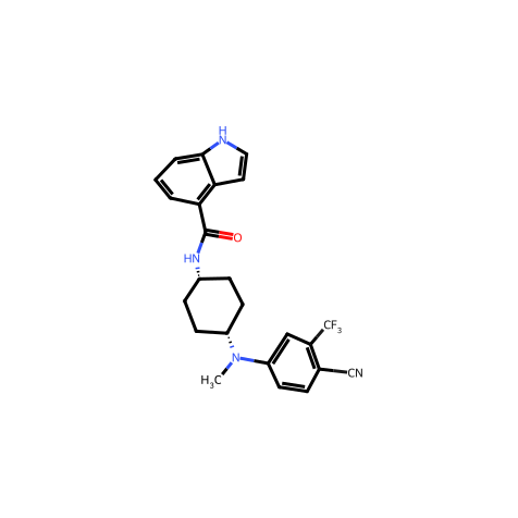 CN(c1ccc(C#N)c(C(F)(F)F)c1)[C@H]1CC[C@@H](NC(=O)c2cccc3[nH]ccc23)CC1